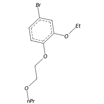 CCCOCCOc1ccc(Br)cc1OCC